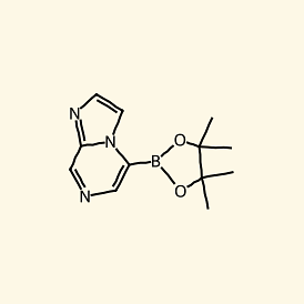 CC1(C)OB(c2cncc3nccn23)OC1(C)C